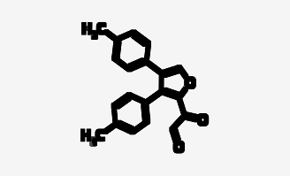 Cc1ccc(-c2coc(C(=O)C=O)c2-c2ccc(C)cc2)cc1